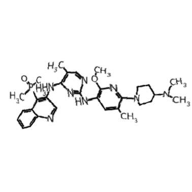 COc1nc(N2CCC(N(C)C)CC2)c(C)cc1Nc1ncc(C)c(Nc2cnc3ccccc3c2P(C)(C)=O)n1